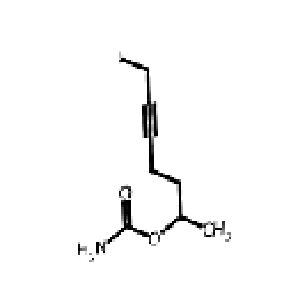 CC(CCC#CCI)OC(N)=O